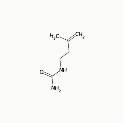 C=C(C)CCNC(N)=O